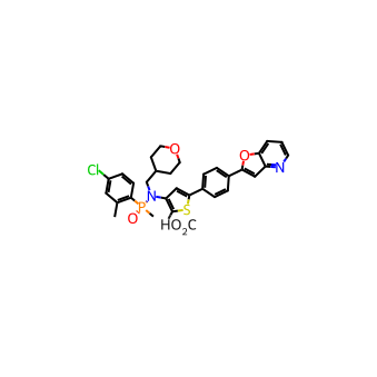 Cc1cc(Cl)ccc1P(C)(=O)N(CC1CCOCC1)c1cc(-c2ccc(-c3cc4ncccc4o3)cc2)sc1C(=O)O